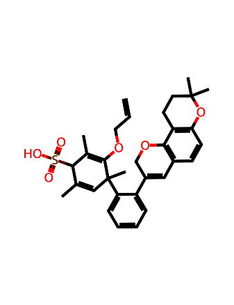 C=CCOC1=C(C)C(S(=O)(=O)O)C(C)=CC1(C)c1ccccc1C1=Cc2ccc3c(c2OC1)CCC(C)(C)O3